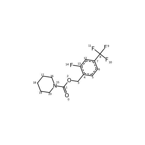 O=C(OCc1ccc(C(F)(F)F)cc1F)N1CCCCC1